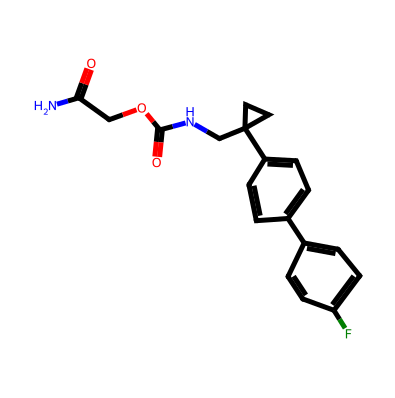 NC(=O)COC(=O)NCC1(c2ccc(-c3ccc(F)cc3)cc2)CC1